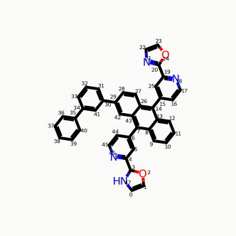 C1=COC(c2cc(-c3c4ccccc4c(-c4ccnc(-c5ncco5)c4)c4ccc(-c5cccc(-c6ccccc6)c5)cc34)ccn2)N1